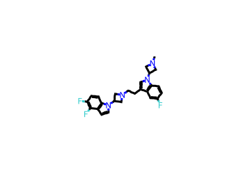 CN1CC(n2cc(CCN3CC(n4ccc5c(F)c(F)ccc54)C3)c3cc(F)ccc32)C1